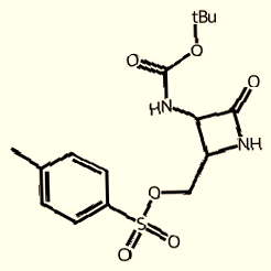 Cc1ccc(S(=O)(=O)OCC2NC(=O)C2NC(=O)OC(C)(C)C)cc1